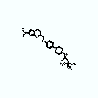 CC(C)(C)OC(=O)NN1CCN(c2ccc(OCC3CCn4cc([N+](=O)[O-])nc4O3)cc2)CC1